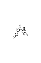 CC(NC(=O)c1c[nH]c2ncc(-c3ccc(C=O)cc3)cc12)c1cccc(F)c1